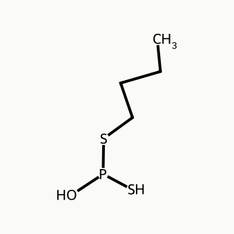 CCCCSP(O)S